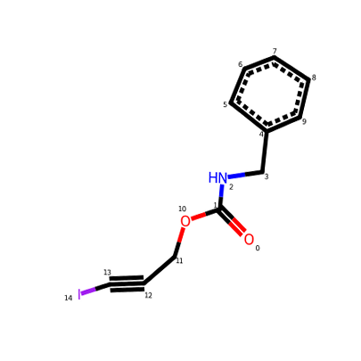 O=C(NCc1ccccc1)OCC#CI